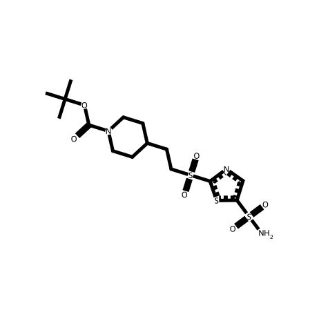 CC(C)(C)OC(=O)N1CCC(CCS(=O)(=O)c2ncc(S(N)(=O)=O)s2)CC1